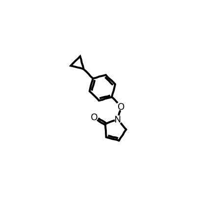 O=C1C=CCN1Oc1ccc(C2CC2)cc1